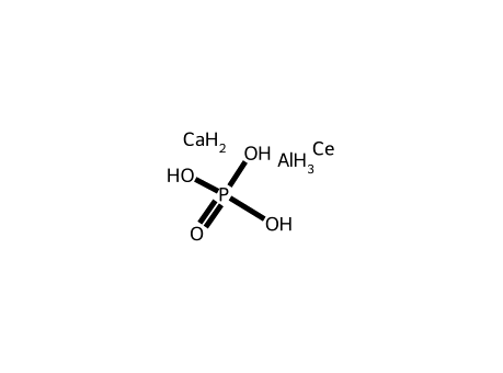 O=P(O)(O)O.[AlH3].[CaH2].[Ce]